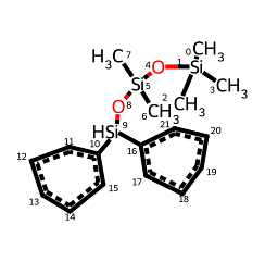 C[Si](C)(C)O[Si](C)(C)O[SiH](c1ccccc1)c1ccccc1